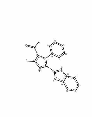 CC(=O)c1c(C)[nH]c(-c2nc3ccccc3s2)c1-c1ccccc1